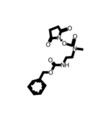 CN(CCNC(=O)OCc1ccccc1)C(=O)ON1C(=O)CCC1=O